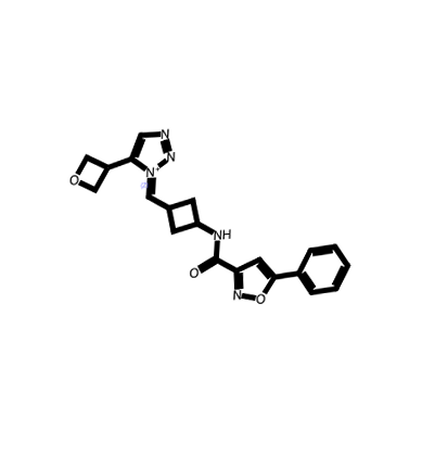 O=C(NC1CC(/C=[N+]2\N=NC=C2C2COC2)C1)c1cc(-c2ccccc2)on1